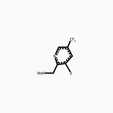 CNCc1ncc(C(F)(F)F)cc1F